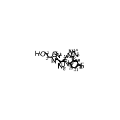 OCCc1nc(-c2ncn3c2Cn2ncnc2-c2cc(F)ccc2-3)no1